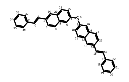 C(=C\c1ccc2cc(Sc3ccc4cc(/C=C/c5ccccc5)ccc4c3)ccc2c1)/c1ccccc1